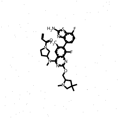 C=CC(=O)N1CCC(N(C)c2nc(OCC3CC(C)(C)CN3C)nc3c(F)c(-c4ccc(F)c5sc(N)nc45)c(C(F)(F)F)cc23)C1